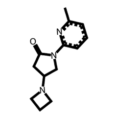 Cc1cccc(N2CC(N3CCC3)CC2=O)n1